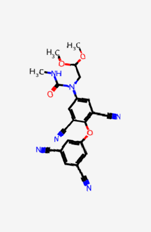 CNC(=O)N(CC(OC)OC)c1cc(C#N)c(Oc2cc(C#N)cc(C#N)c2)c(C#N)c1